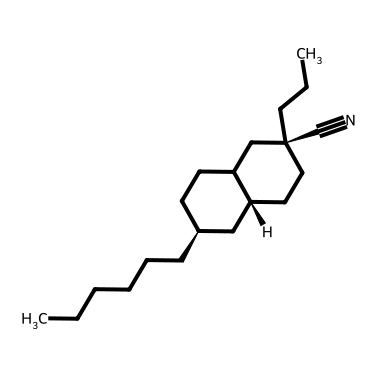 CCCCCC[C@H]1CCC2C[C@](C#N)(CCC)CC[C@@H]2C1